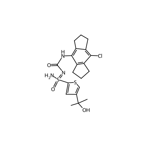 CC(C)(O)c1csc(S(N)(=O)=NC(=O)Nc2c3c(c(Cl)c4c2CCC4)CCC3)c1